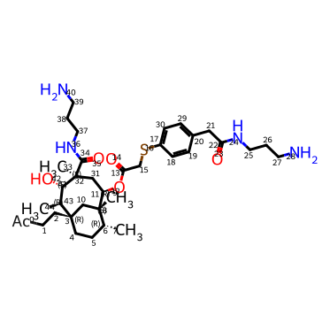 CC(=O)CC[C@]12CC[C@@H](C)[C@](C)(C1)[C@H](OC(=O)CSc1ccc(CC(=O)NCCCN)cc1)C[C@](C)(C(=O)NCCCN)[C@@H](O)[C@@H]2C